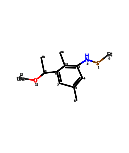 CCSNc1cc(C)cc(C(C)OC(C)(C)C)c1C